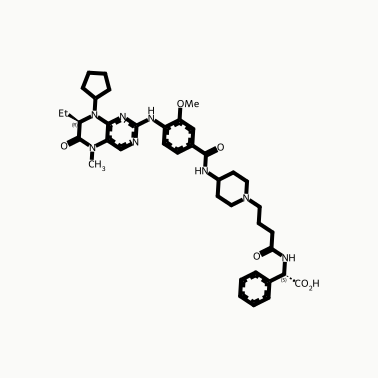 CC[C@@H]1C(=O)N(C)c2cnc(Nc3ccc(C(=O)NC4CCN(CCCC(=O)N[C@H](C(=O)O)c5ccccc5)CC4)cc3OC)nc2N1C1CCCC1